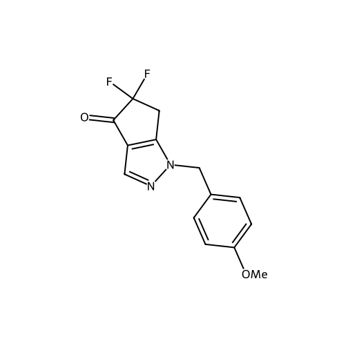 COc1ccc(Cn2ncc3c2CC(F)(F)C3=O)cc1